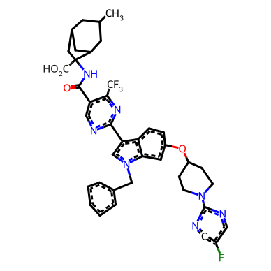 CC1CC2CC(C1)C(NC(=O)c1cnc(-c3cn(Cc4ccccc4)c4cc(OC5CCN(c6ncc(F)cn6)CC5)ccc34)nc1C(F)(F)F)(C(=O)O)C2